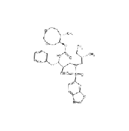 CC[C@H](C)CN(C[C@@H](O)[C@H](Cc1ccccc1)NC(=O)O[C@H]1COCOCC[C@@H]1C)S(=O)(=O)c1ccc2ncoc2c1